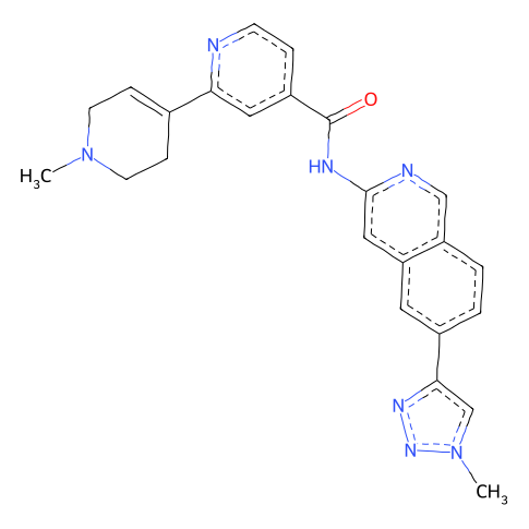 CN1CC=C(c2cc(C(=O)Nc3cc4cc(-c5cn(C)nn5)ccc4cn3)ccn2)CC1